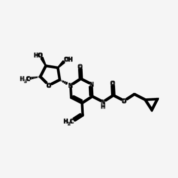 C=Cc1cn([C@@H]2O[C@H](C)[C@@H](O)[C@H]2O)c(=O)nc1NC(=O)OCC1CC1